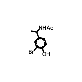 CC(=O)NC(C)c1ccc(O)c(Br)c1